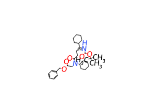 CC(C)(C)OC(=O)N[C@@H](CCC(=O)N(CC(=O)OCc1ccccc1)C1CCCCC1)C1CCCCC1